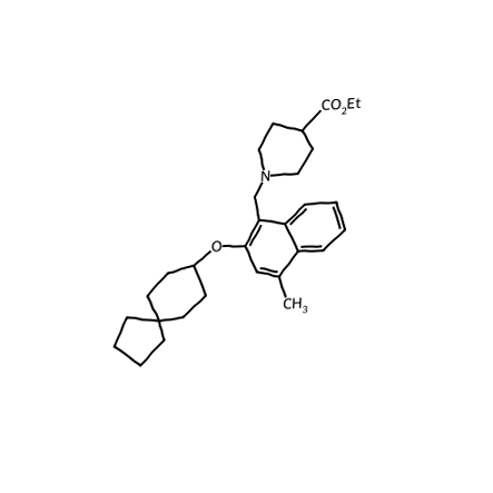 CCOC(=O)C1CCN(Cc2c(OC3CCC4(CCCC4)CC3)cc(C)c3ccccc23)CC1